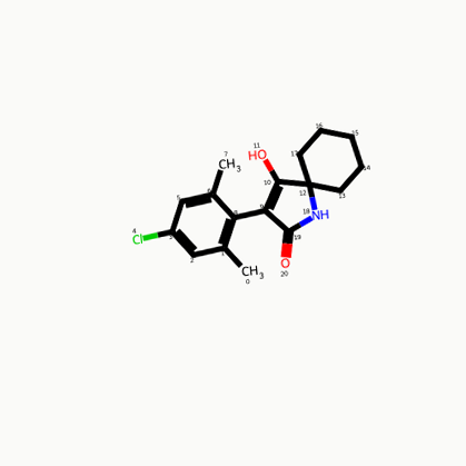 Cc1cc(Cl)cc(C)c1C1=C(O)C2(CCCCC2)NC1=O